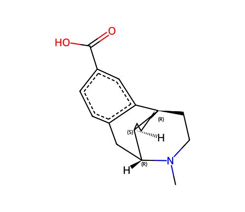 CN1CC[C@]23CCCC[C@@H]2[C@H]1Cc1ccc(C(=O)O)cc13